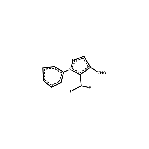 O=Cc1cnn(-c2ccccc2)c1C(F)F